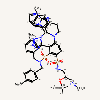 COc1ccc(CN(Cc2ccc(OC)cc2)S(=O)(=O)c2c(S(=O)(=O)NC[C@@H](CNC(=O)O)O[Si](C)(C)C(C)(C)C)ccc(N3CCc4nc5ncccn5c4C3)c2-c2nnnn2Cc2ccc(OC)cc2)cc1